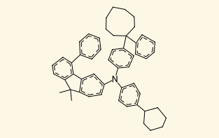 CC1(C)c2ccc(N(c3ccc(C4CCCCC4)cc3)c3ccc(C4(c5ccccc5)CCCCCCC4)cc3)cc2-c2c(-c3ccccc3)cccc21